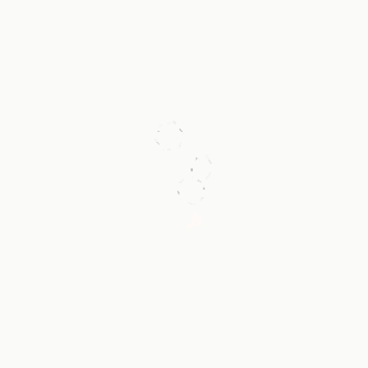 CCC(Oc1ccc2c(-c3ccccc3F)csc2c1Cl)C(=O)O